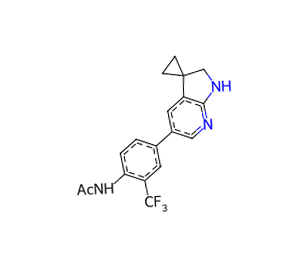 CC(=O)Nc1ccc(-c2cnc3c(c2)C2(CC2)CN3)cc1C(F)(F)F